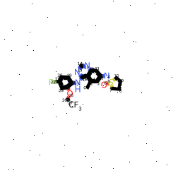 Cc1cc(N=S2(=O)CCCC2)cc2ncnc(Nc3ccc(F)cc3OCC(F)(F)F)c12